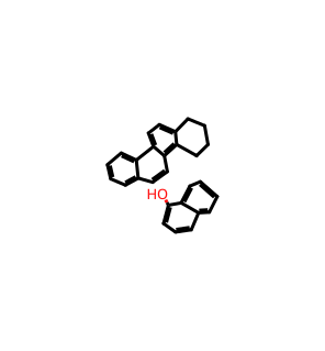 Oc1cccc2ccccc12.c1ccc2c(c1)ccc1c3c(ccc12)CCCC3